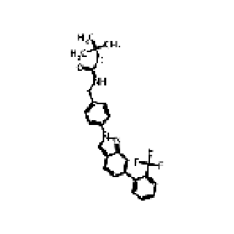 CC(C)(C)OC(=O)NCc1ccc(-n2cc3ccc(-c4ccccc4C(F)(F)F)cc3n2)cc1